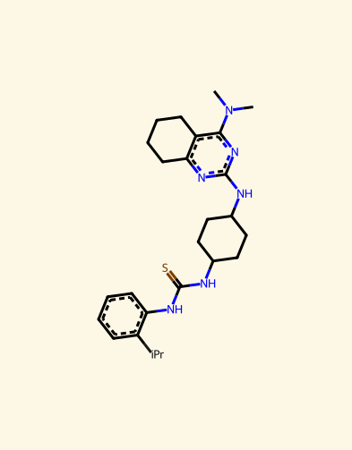 CC(C)c1ccccc1NC(=S)NC1CCC(Nc2nc3c(c(N(C)C)n2)CCCC3)CC1